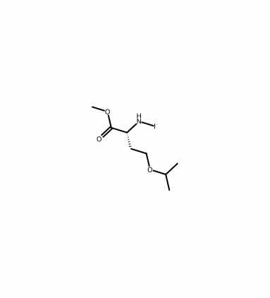 COC(=O)[C@@H](CCOC(C)C)NI